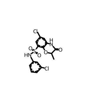 CC1Oc2c(cc(Cl)cc2S(=O)(=O)Nc2cccc(Cl)c2)NC1=O